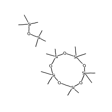 C[Si](C)(C)O[Si](C)(C)C.C[Si]1(C)O[Si](C)(C)O[Si](C)(C)O[Si](C)(C)O[Si](C)(C)O1